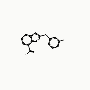 NC(=O)c1cccc2cc(Cc3cccc(C(F)(F)F)c3)sc12